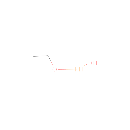 CCO[PH3]O